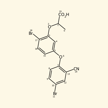 CC(Oc1cc(Oc2ccc(Br)cc2C#N)ccc1Br)C(=O)O